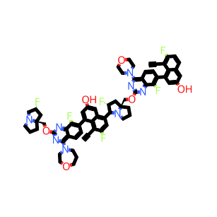 C#Cc1c(F)ccc2cc(O)cc(-c3ccc4c(N5CCOCC5)nc(OC[C@@]56CCCN5C(c5cc(F)c(C#C)c7c(-c8ccc9c(N%10CCCOCC%10)nc(OC[C@@]%10%11CCCN%10C[C@H](F)C%11)nc9c8F)cc(O)cc57)[C@H](F)C6)nc4c3F)c12